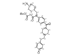 CC(C)COC(=O)[C@H](SCCN)C(=O)N(CCOC(C)C)c1ccc(C(=O)N2CCN(CCc3ccc(Cl)cc3)CC2)cc1